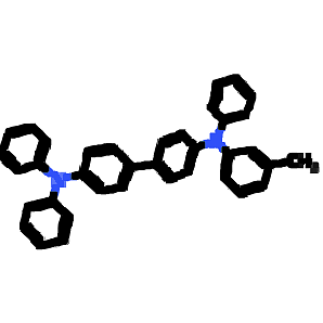 Cc1cccc(N(c2ccccc2)c2ccc(-c3ccc(N(c4ccccc4)c4ccccc4)cc3)cc2)c1